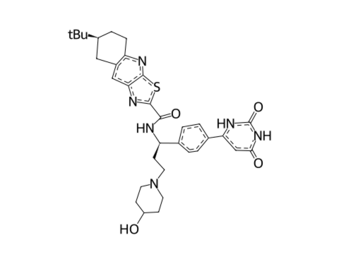 CC(C)(C)[C@H]1CCc2nc3sc(C(=O)N[C@H](CCN4CCC(O)CC4)c4ccc(-c5cc(=O)[nH]c(=O)[nH]5)cc4)nc3cc2C1